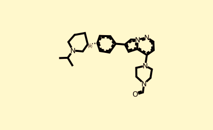 CC(C)N1CCC[C@H](c2ccc(-c3cc4c(N5CCN(C=O)CC5)ccnn4c3)cc2)C1